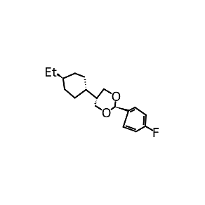 CC[C@H]1CC[C@H]([C@H]2CO[C@H](c3ccc(F)cc3)OC2)CC1